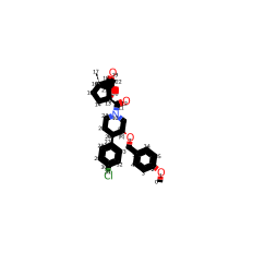 COc1ccc(CO[C@H]2CN(C(=O)[C@]34CC[C@@](C)(C(=O)O3)C4(C)C)CC[C@@H]2c2ccc(Cl)cc2)cc1